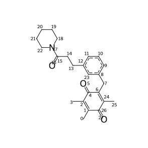 CC1=C(C)C(=O)C(Cc2cccc(CCC(=O)N3CCCCC3)c2)=C(C)C1=O